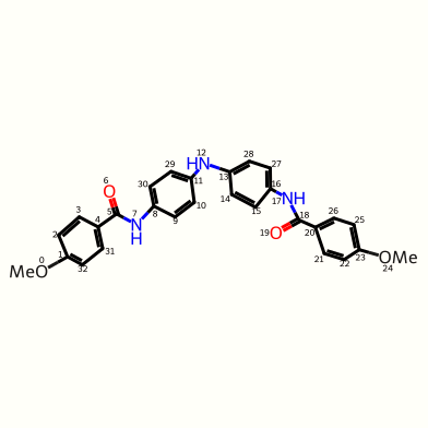 COc1ccc(C(=O)Nc2ccc(Nc3ccc(NC(=O)c4ccc(OC)cc4)cc3)cc2)cc1